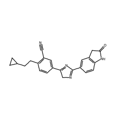 N#Cc1cc(C2=NC(c3ccc4c(c3)CC(=O)N4)=NC2)ccc1CCC1CC1